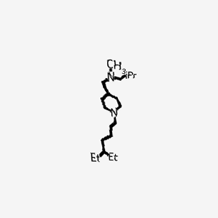 CCC(CC)CCCCN1CCC(CN(C)CC(C)C)CC1